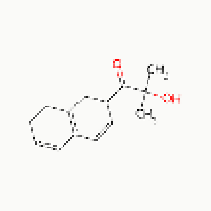 CC(C)(O)C(=O)C1C=CC2=C(CCC=C2)C1